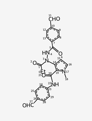 CCC(=O)N(NC(=O)c1ccc(C=O)cc1)c1ccn(C)c1C(=O)Nc1ccc(C=O)cc1